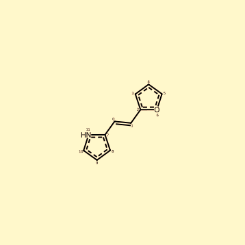 C(=C\c1ccco1)/c1ccc[nH]1